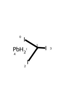 I[C](I)I.[PbH2]